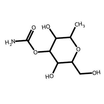 CC1OC(CO)C(O)C(OC(N)=O)C1O